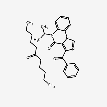 CC(C)n1c(=O)c2c(C(=O)c3ccccc3)ncn2c2ccccc21.CCCCCC(=O)CCCCC